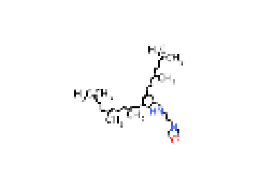 C=C(CC/C=C(\C)CCC=C(C)C)CC[C@H]1C=C(CC/C=C(\C)CCC=C(C)C)C[C@@H](CNCCCN2CCOCC2)C1